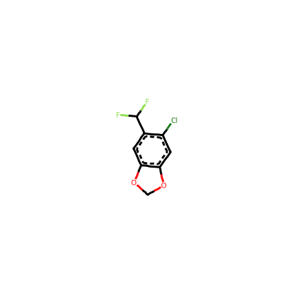 FC(F)c1cc2c(cc1Cl)OCO2